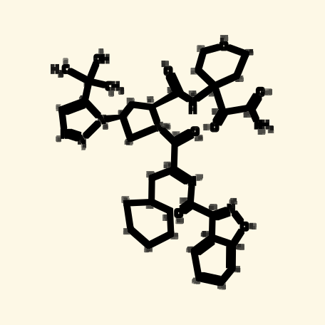 CC(C)(O)c1cnnn1[C@H]1C[C@@H](C(=O)NC2(C(=O)C(N)=O)CCOCC2)N(C(=O)/C(CC2CCCCC2)=N/C(=O)c2noc3ccccc23)C1